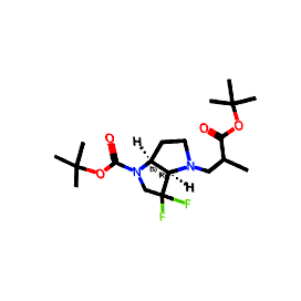 CC(CN1CC[C@H]2[C@@H]1C(F)(F)CN2C(=O)OC(C)(C)C)C(=O)OC(C)(C)C